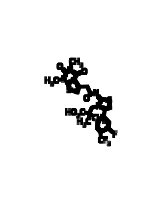 Cn1c(=O)c2c(CC(=O)N=c3scc(-c4ccc(C(F)(F)F)c(F)c4)n3CC(C)(C)C(=O)O)csc2n(C)c1=O